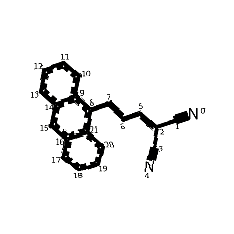 N#CC(C#N)=C/C=C/c1c2ccccc2cc2ccccc12